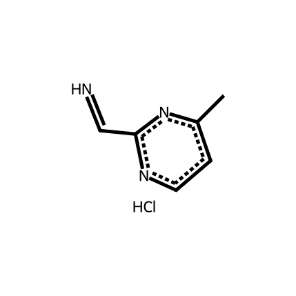 Cc1ccnc(C=N)n1.Cl